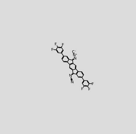 [C-]#[N+]/N=c1\c2cc(-c3cc(F)c(F)c(F)c3)ccc2c2cc3/c(=N/C#N)c4cc(-c5cc(F)c(F)c(F)c5)ccc4c3cc12